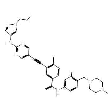 C=C(Nc1ccc(CN2CCN(C)CC2)c(Cl)c1)c1ccc(C)c(C#Cc2cnc(Nc3cnn(CCF)c3)nc2)c1